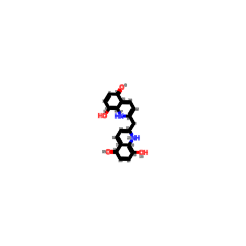 O=c1ccc(O)c2[nH]c(Cc3ccc4c(=O)ccc(O)c-4[nH]3)ccc1-2